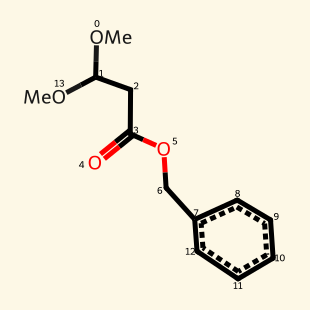 COC(CC(=O)OCc1ccccc1)OC